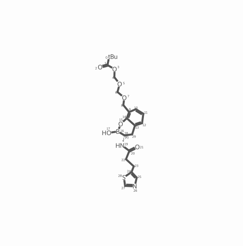 CC(C)(C)C(=O)OCOCOCc1cccc2c1OB(O)[C@@H](NC(=O)CCc1cncs1)C2